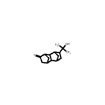 O=C1CC2CC1C1C3CC(CC3C(O)(C(F)(F)F)C(F)(F)F)C21